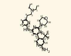 CCN(CC)CCc1csc(Nc2cc(-c3cnc(N)cc3C(F)(F)F)nc(N3CCOCC3)n2)n1